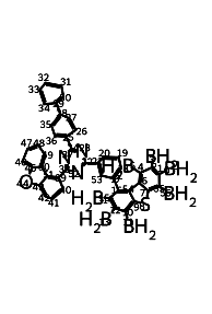 Bc1c(B)c(B)c2c(sc3c(B)c(B)c(B)c(-c4cccc(-c5nc(-c6ccc(-c7ccccc7)cc6)nc(-c6cccc7oc8ccccc8c67)n5)c4)c32)c1B